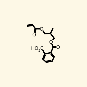 C=CC(=O)OCC(C)COC(=O)c1ccccc1C(=O)O